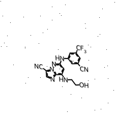 N#Cc1cc(Nc2cc(NCCO)c3ncc(C#N)n3n2)cc(C(F)(F)F)c1